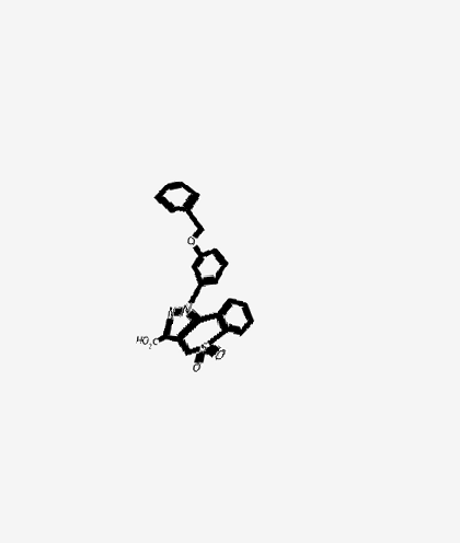 O=C(O)c1nn(-c2cccc(OCc3ccccc3)c2)c2c1CS(=O)(=O)c1ccccc1-2